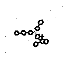 CC1(C)c2cc(N(c3ccc(-c4ccccc4)cc3)c3ccc(-c4ccc(-c5ccccc5)cc4)cc3)ccc2-c2c(-c3ccccc3)cc3ccccc3c21